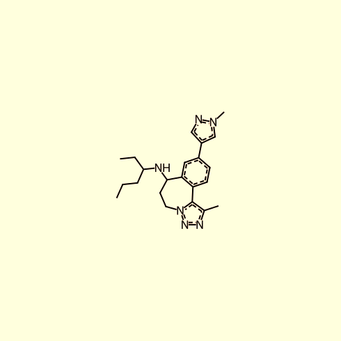 CCCC(CC)NC1CCn2nnc(C)c2-c2ccc(-c3cnn(C)c3)cc21